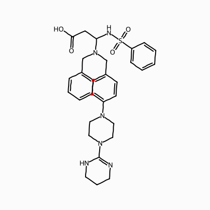 O=C(O)CC(NS(=O)(=O)c1ccccc1)N(Cc1ccccc1)Cc1ccc(N2CCN(C3=NCCCN3)CC2)cc1